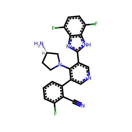 N#Cc1c(F)cccc1-c1cncc(-c2nc3c(F)ccc(F)c3[nH]2)c1N1CC[C@H](N)C1